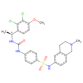 COc1ccc([C@H](C)NC(=O)Nc2ccc(S(=O)(=O)Nc3ccc4c(c3)CCN(C)C4)cc2)c(Cl)c1Cl